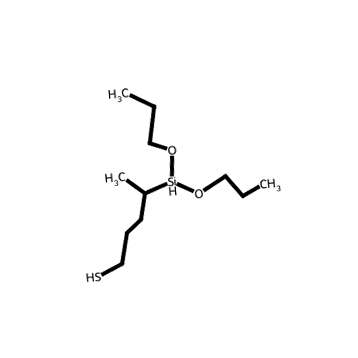 CCCO[SiH](OCCC)C(C)CCCS